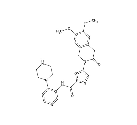 COc1cc2c(cc1OC)CN(c1cnc(C(=O)Nc3cnccc3N3CCNCC3)o1)C(=O)C2